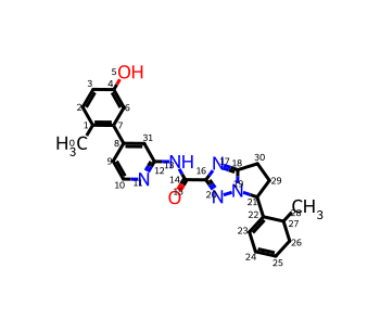 Cc1ccc(O)cc1-c1ccnc(NC(=O)c2nc3n(n2)C(C2=CC=CCC2C)CC3)c1